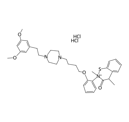 COc1cc(CCN2CCN(CCCCOc3ccccc3[N+]3(C)Sc4ccccc4C(C)C3=O)CC2)cc(OC)c1.Cl.Cl